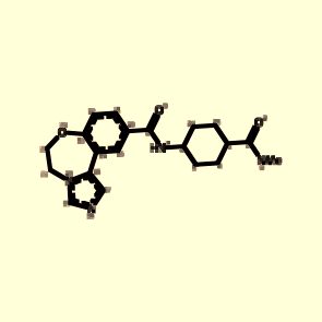 CNC(=O)C1CCC(NC(=O)c2ccc3c(c2)-c2cncn2CCO3)CC1